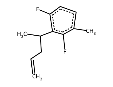 C=CCC(C)c1c(F)ccc(C)c1F